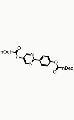 CCCCCCCCCCC(=O)Oc1ccc(-c2ncc(OC(=O)CCCCCCCC)cn2)cc1